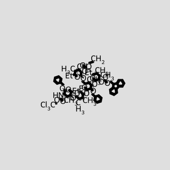 C=CCOC(=O)OC1[C@@H](OCC2O[C@@H](O[C@@H]3C(CC)O[C@@H](O[C@@H]4C(CC)O[C@@H](OCc5ccccc5)C(NC(=O)OCC(Cl)(Cl)Cl)[C@H]4C)C(C)[C@H]3C)C(OCc3ccccc3)[C@@H](O[C@@H]3OC(CC)[C@H](C)C(C)[C@@H]3OC(=O)OCC3c4ccccc4-c4ccccc43)[C@@H]2C)OC(CC)[C@@H](C)[C@@H]1C